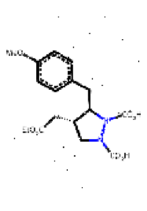 CCOC(=O)C[C@H]1CN(C(=O)O)N(C(=O)O)[C@@H]1Cc1ccc(OC)cc1